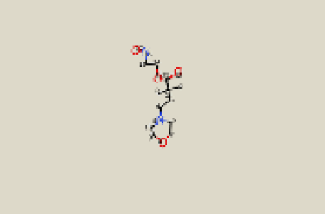 CC(C)(CCN1CCOCC1)C(=O)OCCN=O